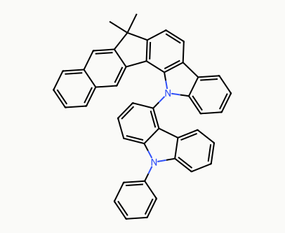 CC1(C)c2cc3ccccc3cc2-c2c1ccc1c3ccccc3n(-c3cccc4c3c3ccccc3n4-c3ccccc3)c21